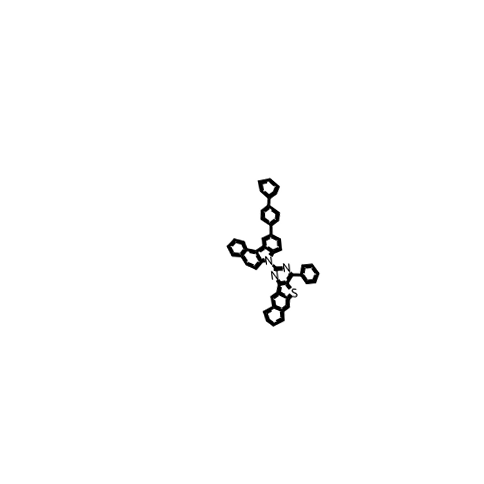 c1ccc(-c2ccc(-c3ccc4c(c3)c3c5ccccc5ccc3n4-c3nc(-c4ccccc4)c4sc5cc6ccccc6cc5c4n3)cc2)cc1